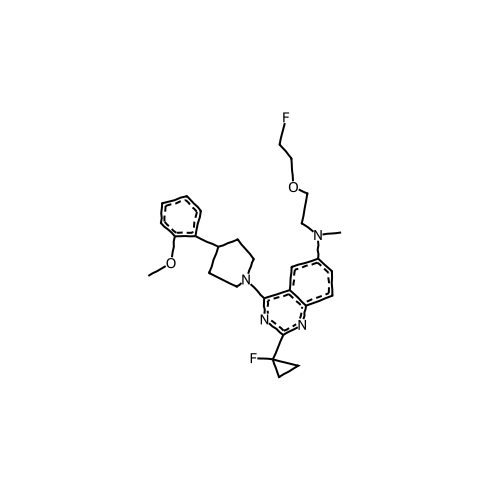 COc1ccccc1C1CCN(c2nc(C3(F)CC3)nc3ccc(N(C)CCOCCF)cc23)CC1